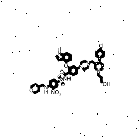 O=C(NS(=O)(=O)c1ccc(NCC2CCOCC2)c([N+](=O)[O-])c1)c1ccc(N2CCN(CC3=C(c4ccc(Cl)cc4)CCN(CCCO)C3)CC2)cc1Oc1cccc2[nH]ccc12